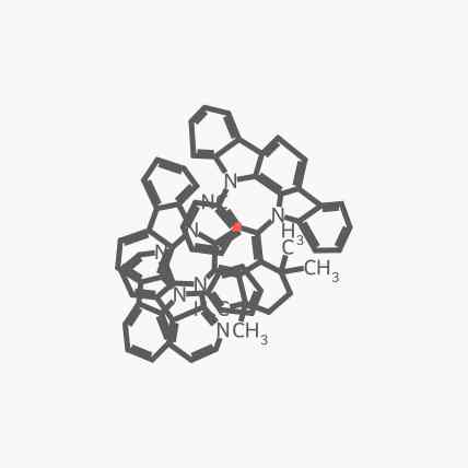 CC1(C)CCC(C)(C)c2c(-n3c4ccccc4c4ccc5c6ccccc6n(-c6ccccc6)c5c43)c(C#N)c(-n3c4ccccc4c4ccc5c6ccccc6n(-c6ccccc6)c5c43)c(-n3c4ncccc4c4cccnc43)c21